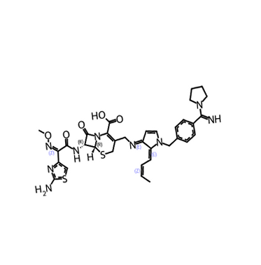 C\C=C/C=C1\C(=N\CC2=C(C(=O)O)N3C(=O)[C@@H](NC(=O)/C(=N\OC)c4csc(N)n4)[C@H]3SC2)C=CN1Cc1ccc(C(=N)N2CCCC2)cc1